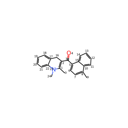 CC1=C(C(=O)c2ccc(C)c3ccccc23)Cc2ccccc2N1C